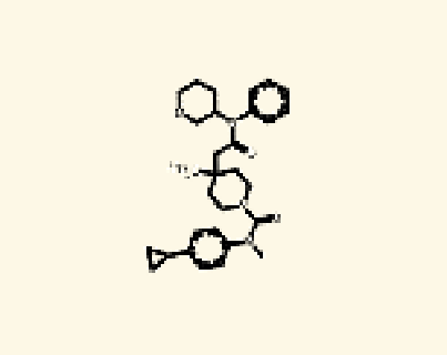 CN(C(=O)N1CCC(CC(=O)N(c2ccccc2)C2CCCOC2)(C(=O)O)CC1)c1ccc(C2CC2)cc1